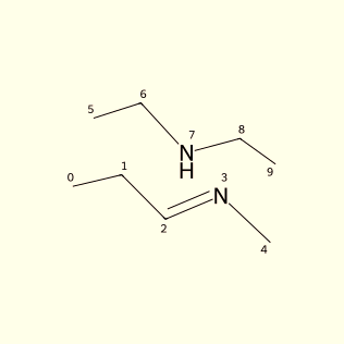 CCC=NC.CCNCC